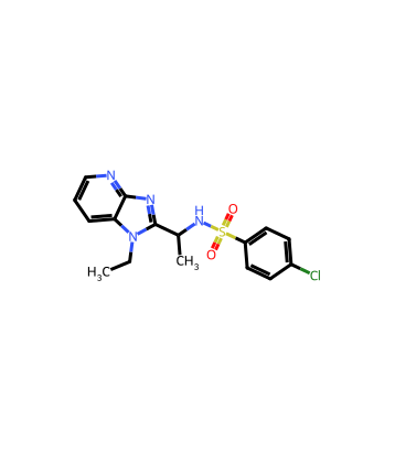 CCn1c(C(C)NS(=O)(=O)c2ccc(Cl)cc2)nc2ncccc21